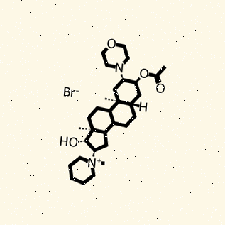 CC(=O)O[C@H]1C[C@@H]2CCC3C4C[C@H]([N+]5(C)CCCCC5)[C@H](O)[C@@]4(C)CCC3[C@@]2(C)C[C@@H]1N1CCOCC1.[Br-]